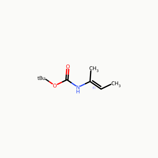 C/C=C(\C)NC(=O)OC(C)(C)C